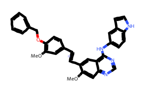 COc1cc2ncnc(Nc3ccc4[nH]ccc4c3)c2cc1/C=C/c1ccc(OCc2ccccc2)c(OC)c1